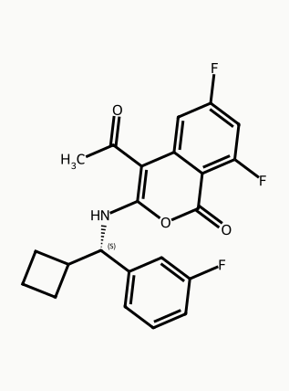 CC(=O)c1c(N[C@H](c2cccc(F)c2)C2CCC2)oc(=O)c2c(F)cc(F)cc12